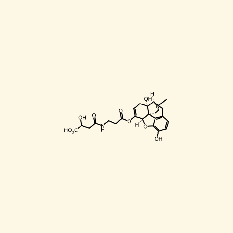 CN1CC[C@]23c4c5ccc(O)c4O[C@H]2C(OC(=O)CCNC(=O)C[C@H](O)C(=O)O)=CC[C@@]3(O)[C@H]1C5